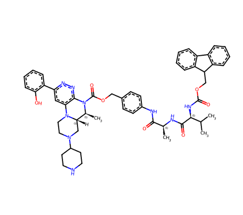 CC(C)[C@H](NC(=O)OCC1c2ccccc2-c2ccccc21)C(=O)N[C@@H](C)C(=O)Nc1ccc(COC(=O)N2c3nnc(-c4ccccc4O)cc3N3CCN(C4CCNCC4)C[C@H]3[C@@H]2C)cc1